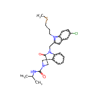 CSCCCn1c(CN2C(=O)C3(CN(C(=O)NC(C)C)C3)c3ccccc32)cc2cc(Cl)ccc21